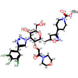 CC(C)(C)OC(=O)N1CCC(C2=NOC(C[C@H]3O[C@H](CO)[C@H](O)[C@H](n4cc(-c5cc(F)c(F)c(F)c5)nn4)[C@H]3OCC(=O)N3CCOCC3)C2)CC1